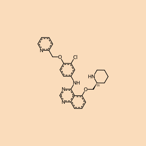 Clc1cc(Nc2ncnc3cccc(OC[C@@H]4CCCCN4)c23)ccc1OCc1ccccn1